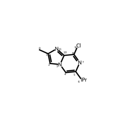 Cc1cn2cc(C(C)C)nc(Cl)c2n1